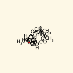 CC[C@]12c3c4ccc(O)c3O[C@H]1C(OC(=O)[C@H](C)OC(=O)[C@H](C)NC(=O)[C@H](C)OC(C)=O)=CC[C@@]2(O)[C@H](NC)C4